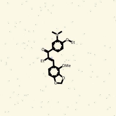 CCOc1ccc(C(=O)/C(=C/c2ccc3c(c2OC)OCO3)CC)cc1N(C)C